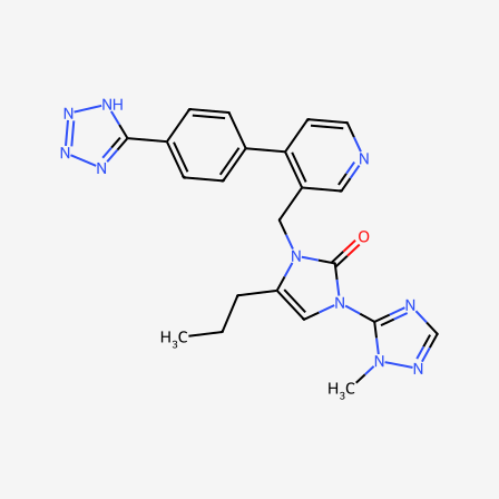 CCCc1cn(-c2ncnn2C)c(=O)n1Cc1cnccc1-c1ccc(-c2nnn[nH]2)cc1